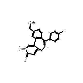 CSCc1ccc2c(c1)-c1cn(C)c(=O)cc1CN=C2c1ccc(F)cc1